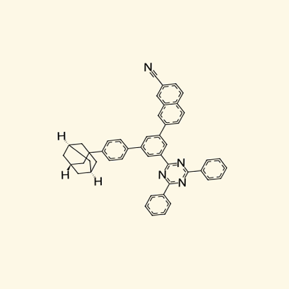 N#Cc1ccc2ccc(-c3cc(-c4ccc(C56C[C@H]7C[C@@H](C5)C[C@@H](C6)C7)cc4)cc(-c4nc(-c5ccccc5)nc(-c5ccccc5)n4)c3)cc2c1